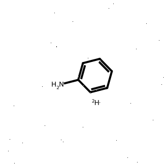 Nc1ccccc1.[2H]